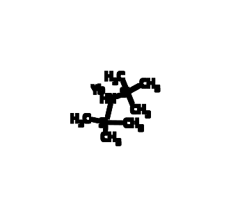 C[Si](C)(C)N[Si](C)(C)C.[Yb]